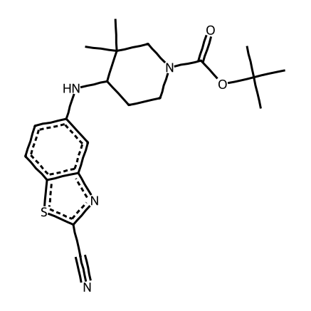 CC(C)(C)OC(=O)N1CCC(Nc2ccc3sc(C#N)nc3c2)C(C)(C)C1